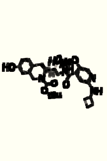 COc1cnc(NC2CCC2)cc1C(=O)NC[C@@H](O)[C@@H]1Cc2ccc(O)cc2CN1C(=O)OC(C)(C)C